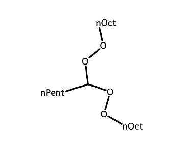 CCCCCCCCOOC(CCCCC)OOCCCCCCCC